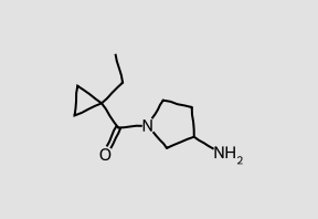 CCC1(C(=O)N2CCC(N)C2)CC1